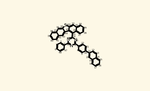 c1ccc(-c2nc(-c3ccc(-c4ccc5ccccc5c4)cc3)nc(-c3c4ccccc4cc4sc5cc6ccccc6cc5c34)n2)cc1